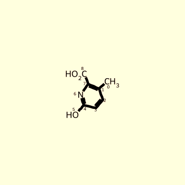 Cc1ccc(O)nc1C(=O)O